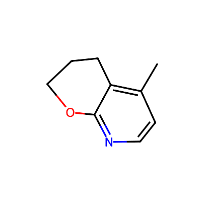 Cc1ccnc2c1CCCO2